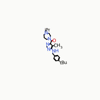 Cc1c(NCc2ccc(C(C)(C)C)cc2)ncnc1C(=O)N1CCCN(C(C)C)CC1